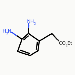 CCOC(=O)Cc1cccc(N)c1N